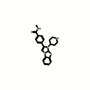 CNC(=O)c1ccc(C2=CN3c4ccccc4SC3N2C2CCNCC2)cc1